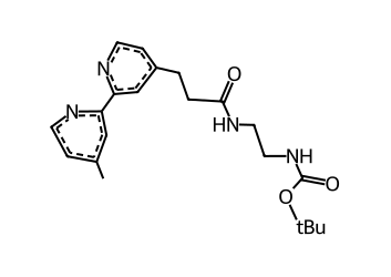 Cc1ccnc(-c2cc(CCC(=O)NCCNC(=O)OC(C)(C)C)ccn2)c1